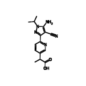 CC(C(=O)O)c1ccc(-c2nn(C(C)C)c(N)c2C#N)nc1